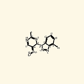 CC1=NC(n2nnc3c(I)cccc32)C(=S=O)C=N1